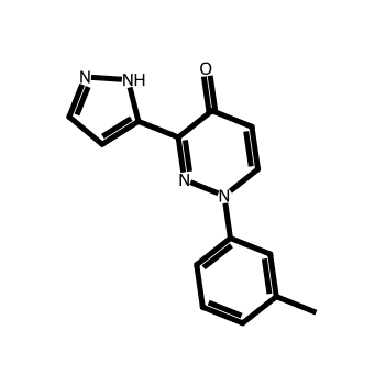 Cc1cccc(-n2ccc(=O)c(-c3ccn[nH]3)n2)c1